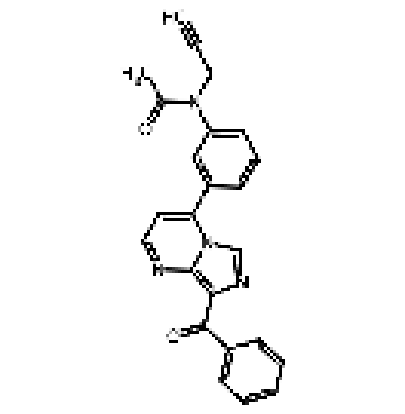 C#CCN(C(C)=O)c1cccc(-c2ccnc3c(C(=O)c4ccccc4)ncn23)c1